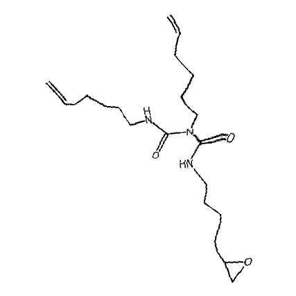 C=CCCCCNC(=O)N(CCCCC=C)C(=O)NCCCCC1CO1